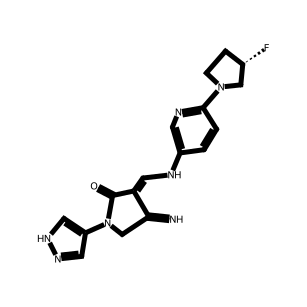 N=C1CN(c2cn[nH]c2)C(=O)/C1=C/Nc1ccc(N2CC[C@H](F)C2)nc1